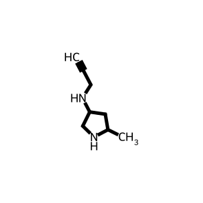 C#CCNC1CNC(C)C1